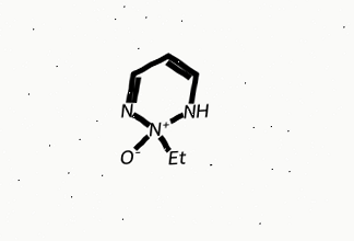 CC[N+]1([O-])N=CC=CN1